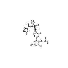 Cc1cc(C(=O)NC2(C(=O)N[C@H](C)c3ncc(-c4cc(Cl)cc(Cl)c4OCC(F)F)cc3F)COC2)on1